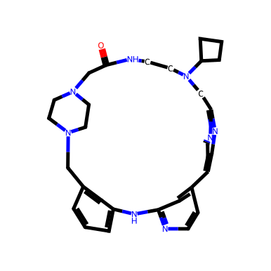 O=C1CN2CCN(CC2)Cc2cccc(c2)Nc2cc(ccn2)-c2cnc(nc2)CN(C2CCC2)CCN1